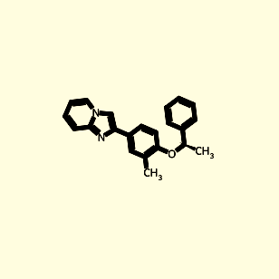 Cc1cc(-c2cn3ccccc3n2)ccc1O[C@H](C)c1ccccc1